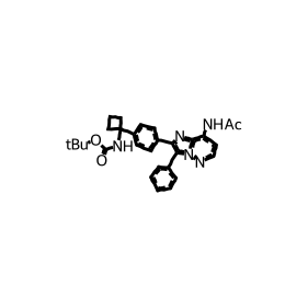 CC(=O)Nc1ccnn2c(-c3ccccc3)c(-c3ccc(C4(NC(=O)OC(C)(C)C)CCC4)cc3)nc12